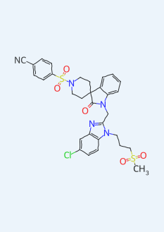 CS(=O)(=O)CCCn1c(CN2C(=O)C3(CCN(S(=O)(=O)c4ccc(C#N)cc4)CC3)c3ccccc32)nc2cc(Cl)ccc21